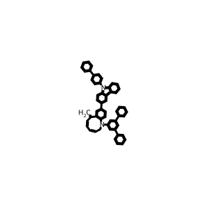 C=C1/C=C\C=C/CN(c2cc(-c3ccccc3)cc(-c3ccccc3)c2)c2ccc(-c3ccc4c(c3)c3ccccc3n4-c3ccc(-c4ccccc4)cc3)cc21